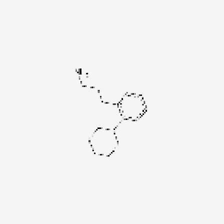 NCCCc1ccccc1C1CCCCC1